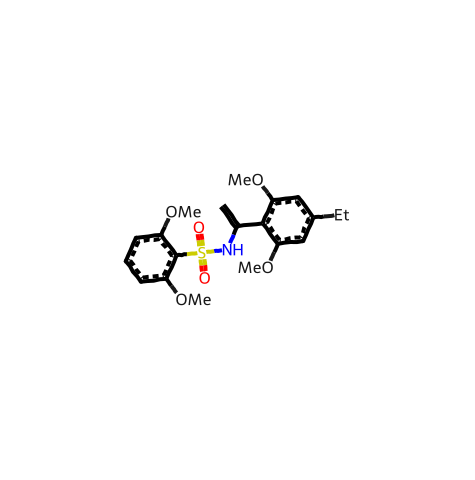 C=C(NS(=O)(=O)c1c(OC)cccc1OC)c1c(OC)cc(CC)cc1OC